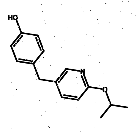 CC(C)Oc1ccc(Cc2ccc(O)cc2)cn1